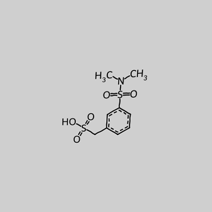 CN(C)S(=O)(=O)c1cccc(CS(=O)(=O)O)c1